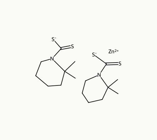 CC1(C)CCCCN1C(=S)[S-].CC1(C)CCCCN1C(=S)[S-].[Zn+2]